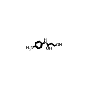 Nc1ccc(NC(O)CCO)cc1